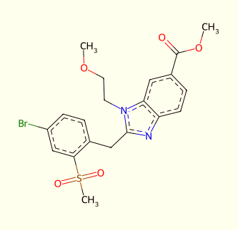 COCCn1c(Cc2ccc(Br)cc2S(C)(=O)=O)nc2ccc(C(=O)OC)cc21